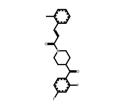 Cc1ccccc1C=CC(=O)N1CCC(C(=O)c2ccc(F)cc2F)CC1